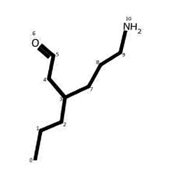 CCCC(CC=O)CCCN